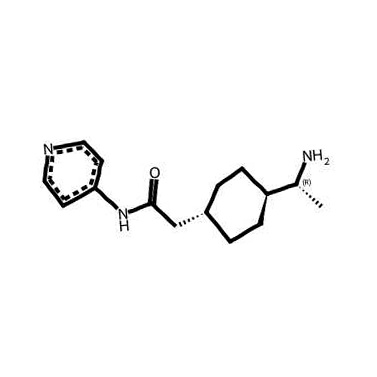 C[C@@H](N)[C@H]1CC[C@H](CC(=O)Nc2ccncc2)CC1